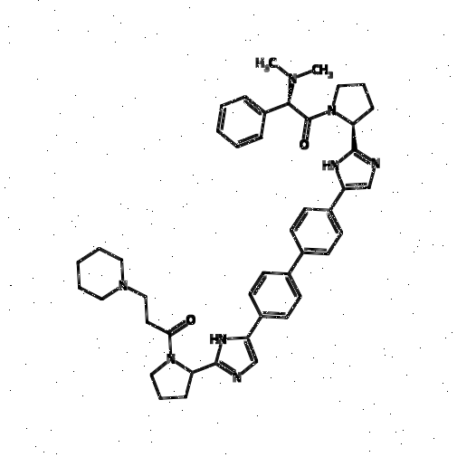 CN(C)[C@@H](C(=O)N1CCC[C@H]1c1ncc(-c2ccc(-c3ccc(-c4cnc(C5CCCN5C(=O)CCN5CCCCC5)[nH]4)cc3)cc2)[nH]1)c1ccccc1